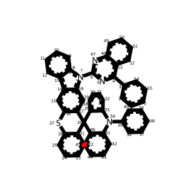 c1ccc(-c2nc(-n3c4ccccc4c4cc5c(cc43)C3(c4ccccc4S5)c4ccccc4N(c4ccccc4)c4ccccc43)nc3ccccc23)cc1